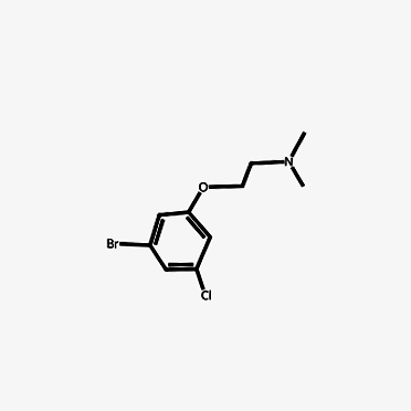 CN(C)CCOc1cc(Cl)cc(Br)c1